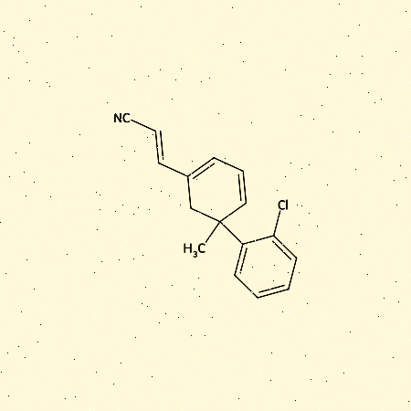 CC1(c2ccccc2Cl)C=CC=C(C=CC#N)C1